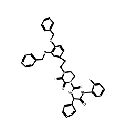 [CH2]c1ccccc1NC(=O)C(NC(=O)N1CCN(CCc2ccc(OCc3ccccc3)c(OCc3ccccc3)c2)C(=O)C1=O)c1ccccc1